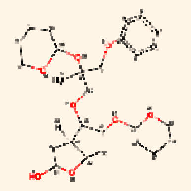 CC(COc1ccccc1)(COC1C(OC2CCCCO2)CC2OC(O)C[C@H]21)OC1CCCCO1